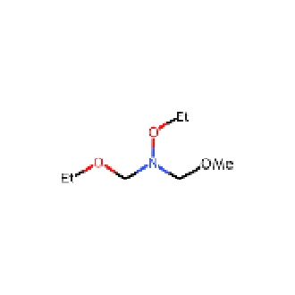 CCOCN(COC)OCC